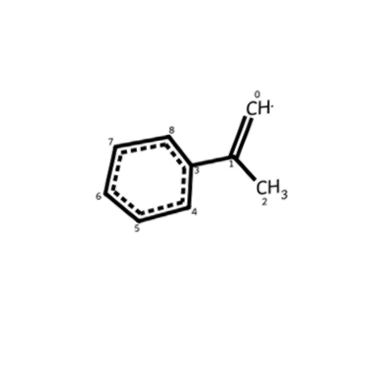 [CH]=C(C)c1ccccc1